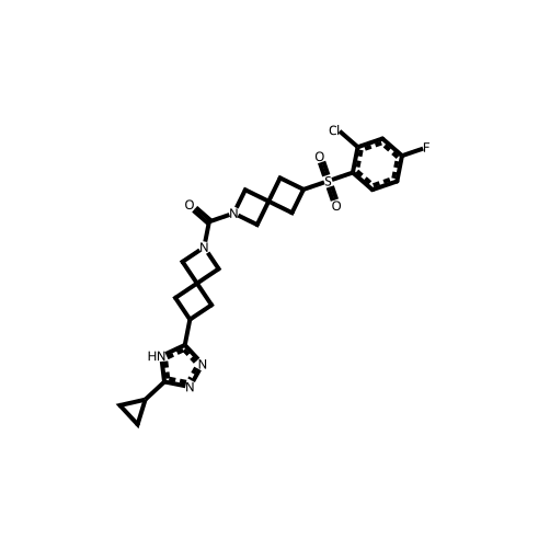 O=C(N1CC2(CC(c3nnc(C4CC4)[nH]3)C2)C1)N1CC2(CC(S(=O)(=O)c3ccc(F)cc3Cl)C2)C1